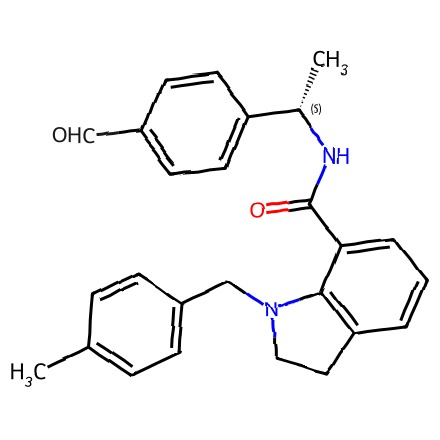 Cc1ccc(CN2CCc3cccc(C(=O)N[C@@H](C)c4ccc(C=O)cc4)c32)cc1